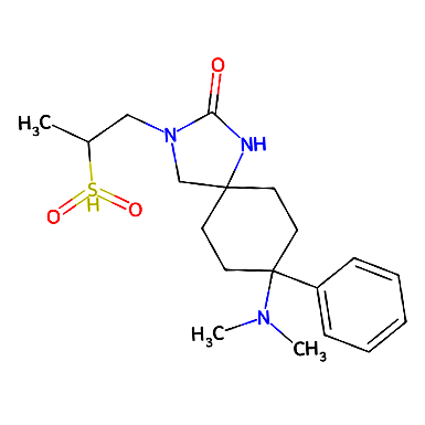 CC(CN1CC2(CCC(c3ccccc3)(N(C)C)CC2)NC1=O)[SH](=O)=O